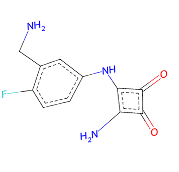 NCc1cc(Nc2c(N)c(=O)c2=O)ccc1F